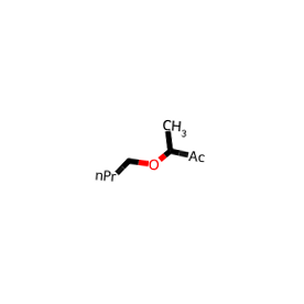 CCCCOC(C)C(C)=O